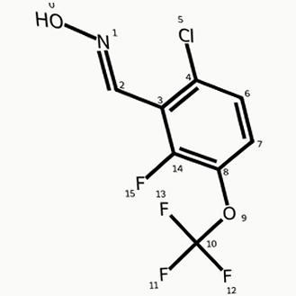 ON=Cc1c(Cl)ccc(OC(F)(F)F)c1F